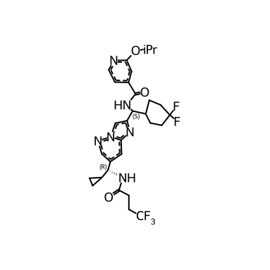 CC(C)Oc1cc(C(=O)N[C@H](c2cn3ncc([C@H](NC(=O)CCC(F)(F)F)C4CC4)cc3n2)C2CCC(F)(F)CC2)ccn1